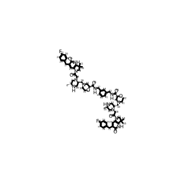 C[C@@H]1CN(CC(=O)N2CC(C)(C)c3[nH]c(=O)c(Cc4ccc(F)cc4)cc32)[C@@H](CN2CCO[C@H](C(=O)NCc3cccc(CNC(=O)[C@@H]4CN(C[C@H]5CN[C@H](C)CN5CC(=O)N5CC(C)(C)c6[nH]c(=O)c(Cc7ccc(F)cc7)cc65)CCO4)c3)C2)CN1